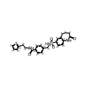 O=C1CCCc2cc(S(=O)(=O)NCc3ccc(C(=O)NCCc4cccs4)cc3)ccc2N1